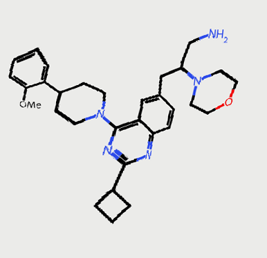 COc1ccccc1C1CCN(c2nc(C3CCC3)nc3ccc(CC(CN)N4CCOCC4)cc23)CC1